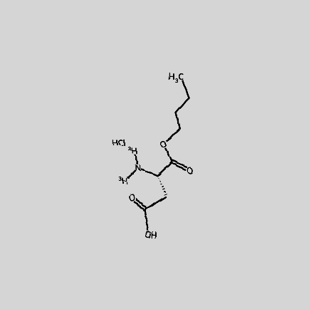 Cl.[3H]N([3H])[C@@H](CC(=O)O)C(=O)OCCCC